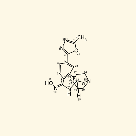 Cc1nnc(-c2ccc(/C(=N\O)N[C@H]3CN4CCC3CC4)c(F)c2)o1